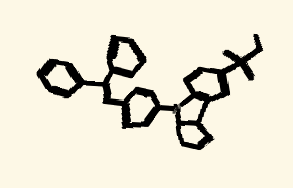 CCC(C)(C)c1ccc2c(c1)C1CCCC1N2c1ccc(C=C(c2ccccc2)c2ccccc2)cc1